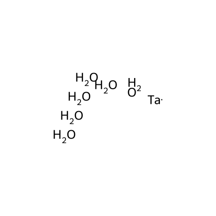 O.O.O.O.O.O.[Ta]